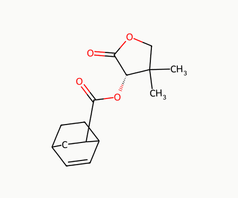 CC1(C)COC(=O)[C@H]1OC(=O)C1CC2C=CC1CC2